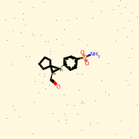 NS(=O)(=O)c1ccc([C@@H]2[C@@H](C=O)C23CCCC3)cc1